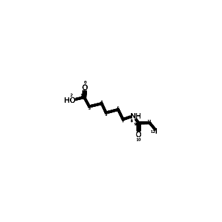 O=C(O)CCCCCNC(=O)CI